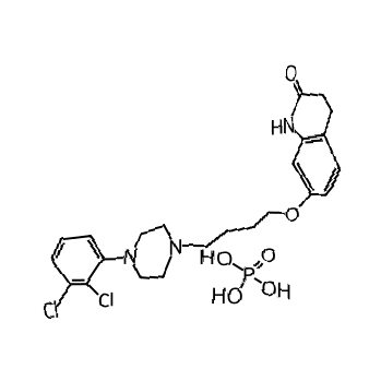 O=C1CCc2ccc(OCCCCN3CCN(c4cccc(Cl)c4Cl)CC3)cc2N1.O=P(O)(O)O